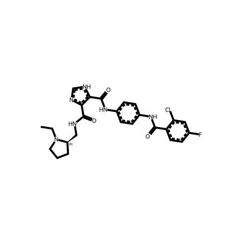 CCN1CCC[C@@H]1CNC(=O)c1nc[nH]c1C(=O)Nc1ccc(NC(=O)c2ccc(F)cc2Cl)cc1